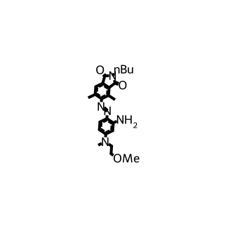 CCCCN1C(=O)c2cc(C)c(N=Nc3ccc(N(C)CCOC)cc3N)c(C)c2C1=O